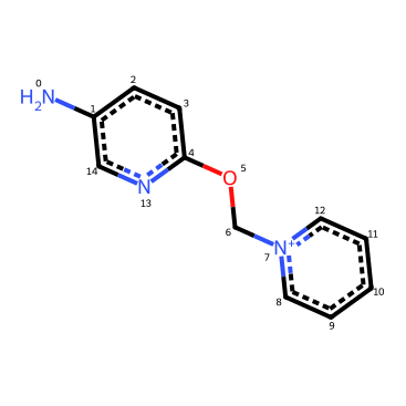 Nc1ccc(OC[n+]2ccccc2)nc1